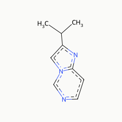 CC(C)c1cn2cnccc2n1